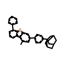 Cc1cc(-c2ccc(C34CC5CC(CC(C5)C3)C4)cc2)cc2sc3c(-c4ccccc4)cccc3c12